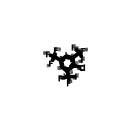 FC(F)(F)c1cc(C(F)(F)F)c(Cl)c(C(F)(F)F)c1